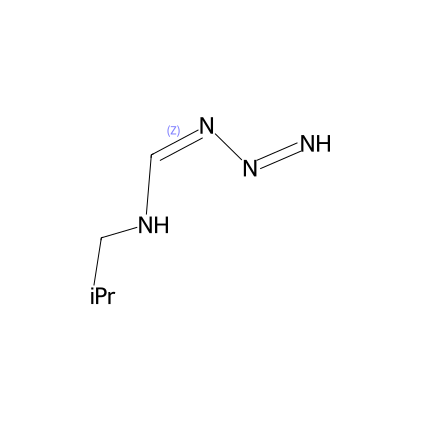 CC(C)CN/C=N\N=N